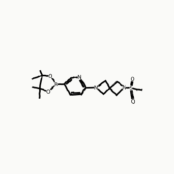 CC1(C)OB(c2ccc(N3CC4(C3)CN(S(C)(=O)=O)C4)nc2)OC1(C)C